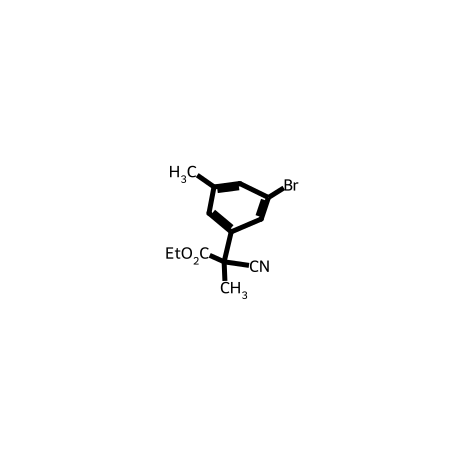 CCOC(=O)C(C)(C#N)c1cc(C)cc(Br)c1